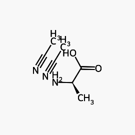 CC#N.CC#N.C[C@@H](N)C(=O)O